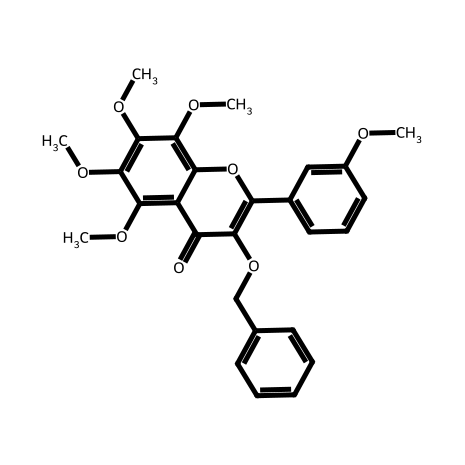 COc1cccc(-c2oc3c(OC)c(OC)c(OC)c(OC)c3c(=O)c2OCc2ccccc2)c1